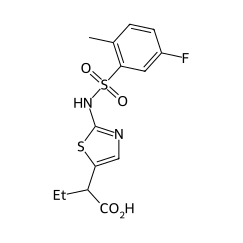 CCC(C(=O)O)c1cnc(NS(=O)(=O)c2cc(F)ccc2C)s1